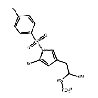 Cc1ccc(S(=O)(=O)n2cc(CC(NC(=O)O)C(C)(C)C)cc2Br)cc1